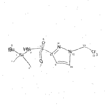 CC(C)(C)[Si](C)(C)NS(=O)(=O)c1ccn(CC(F)(F)F)n1